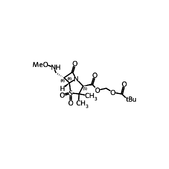 CONC[C@@H]1C(=O)N2[C@@H](C(=O)OCOC(=O)C(C)(C)C)C(C)(C)S(=O)(=O)[C@H]12